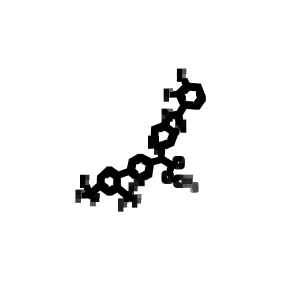 COC(=O)C(c1ccc(-c2ccc(C(F)(F)F)cc2C(F)(F)F)nc1)n1cc2nc(-c3cccc(F)c3F)nc-2cn1